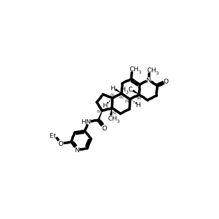 CCOc1cc(NC(=O)[C@H]2CC[C@H]3[C@@H]4CC(C)=C5N(C)C(=O)CC[C@]5(C)[C@H]4CC[C@]23C)ccn1